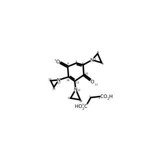 O=C(O)CC(=O)O.O=C1C=C(N2CC2)C(=O)C(N2CC2)=C1N1CC1